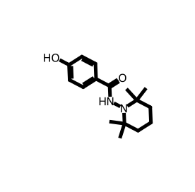 CC1(C)CCCC(C)(C)N1NC(=O)c1ccc(O)cc1